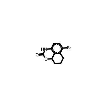 O=C1Nc2ccc(Br)c3c2C(CCC3)O1